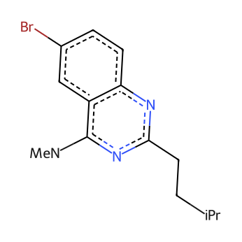 CNc1nc(CCC(C)C)nc2ccc(Br)cc12